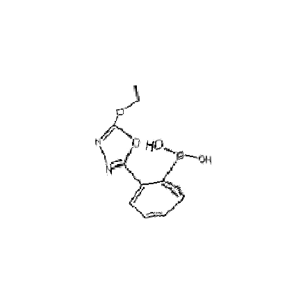 CCOc1nnc(-c2ccccc2B(O)O)o1